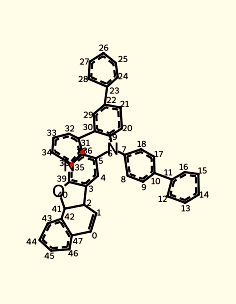 C1=CC2c3cc(N(c4ccc(-c5ccccc5)cc4)c4ccc(-c5ccccc5)cc4-c4ccccc4)cnc3OC2c2ccccc21